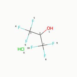 Cl.OC(C(F)(F)F)C(F)(F)F